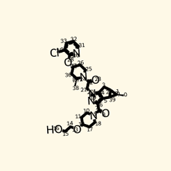 C[C@@H]1C2Cc3c(c(C(=O)N4CCC(OCCO)CC4)nn3CC(=O)N3CC[C@H](Oc4ncccc4Cl)C[C@@H]3C)C21